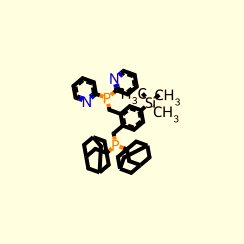 C[Si](C)(C)c1ccc(CP(C23CC4CC(CC(C4)C2)C3)C23CC4CC(CC(C4)C2)C3)c(CP(c2ccccn2)c2ccccn2)c1